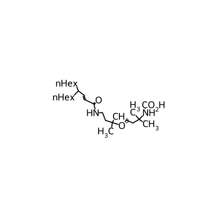 CCCCCCC(/C=C/C(=O)NCCC(C)(C)OCCC(C)(C)NC(=O)O)CCCCCC